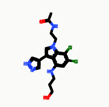 CC(=O)NCCn1cc(-c2cn[nH]c2)c2c(NCCCO)cc(Cl)c(Cl)c21